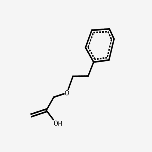 C=C(O)COCCc1ccccc1